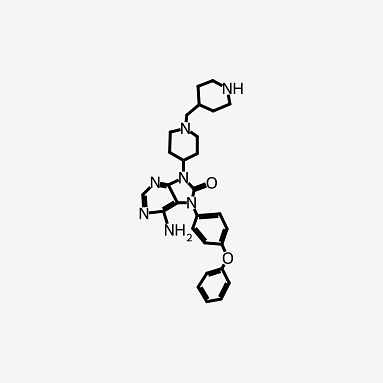 Nc1ncnc2c1n(-c1ccc(Oc3ccccc3)cc1)c(=O)n2C1CCN(CC2CCNCC2)CC1